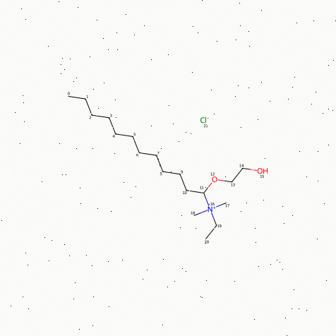 CCCCCCCCCCCC(OCCO)[N+](C)(C)CC.[Cl-]